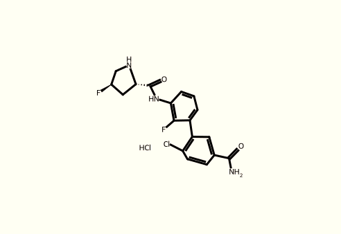 Cl.NC(=O)c1ccc(Cl)c(-c2cccc(NC(=O)[C@@H]3C[C@@H](F)CN3)c2F)c1